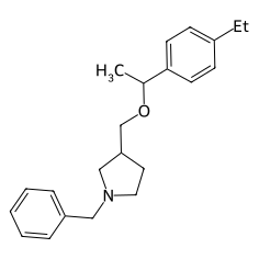 CCc1ccc(C(C)OCC2CCN(Cc3ccccc3)C2)cc1